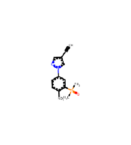 C#Cc1cnn(-c2ccc([N+](=O)[O-])c(P(C)(C)=O)c2)c1